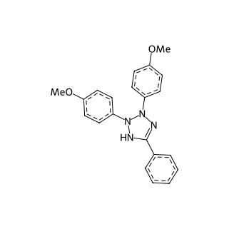 COc1ccc(N2N=C(c3ccccc3)NN2c2ccc(OC)cc2)cc1